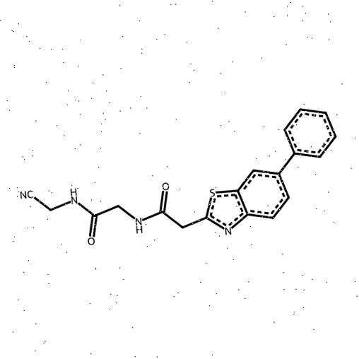 N#CCNC(=O)CNC(=O)Cc1nc2ccc(-c3ccccc3)cc2s1